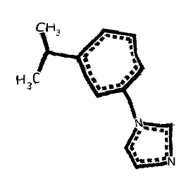 CC(C)c1cccc(-n2[c]ncc2)c1